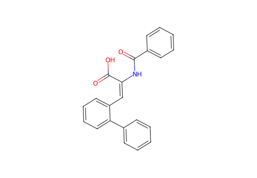 O=C(O)C(=Cc1ccccc1-c1ccccc1)NC(=O)c1ccccc1